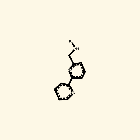 ONCc1cccc(-c2ccccn2)n1